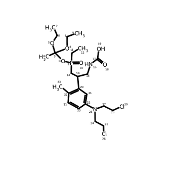 CCOC(C)(OCC)OP(=O)(CC)CC(CNC(=O)O)c1cc(N(CCCl)CCCl)ccc1C